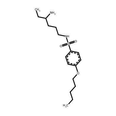 CCCCCOc1ccc(S(=O)(=O)NCCCC(N)CC)cc1